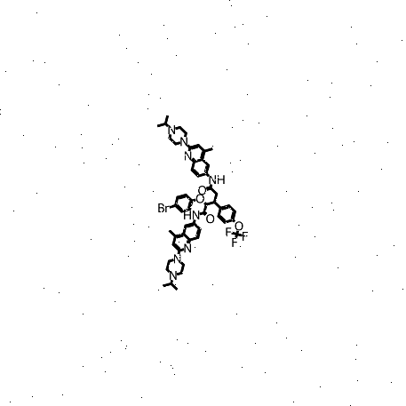 Cc1cc(N2CCN(C(C)C)CC2)nc2ccc(NC(=O)CC(c3ccc(OC(F)(F)F)cc3)C(Oc3ccc(Br)cc3)C(=O)Nc3ccc4nc(N5CCN(C(C)C)CC5)cc(C)c4c3)cc12